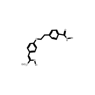 CCOC(=O)/C(=C/c1ccc(OCCc2ccc(C(=O)NC(C)C)cc2)cc1)OCC